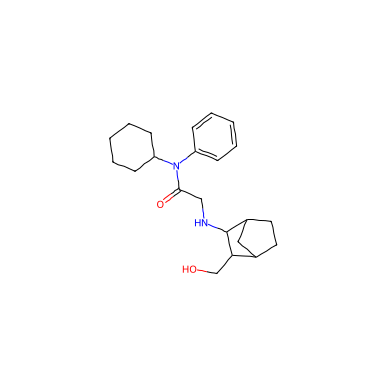 O=C(CNC1C2CCC(C2)C1CO)N(c1ccccc1)C1CCCCC1